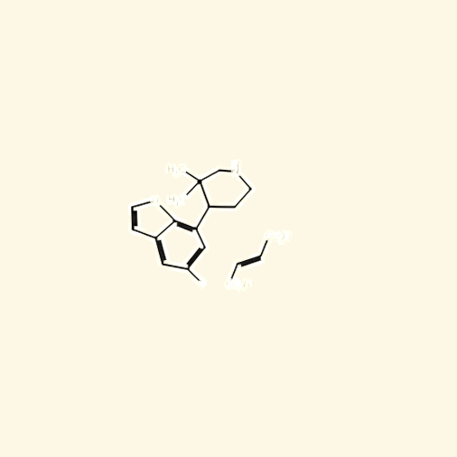 CC1(C)CNCCC1c1cc(F)cc2ccoc12.O=C(O)C=CC(=O)O